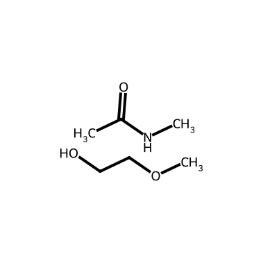 CNC(C)=O.COCCO